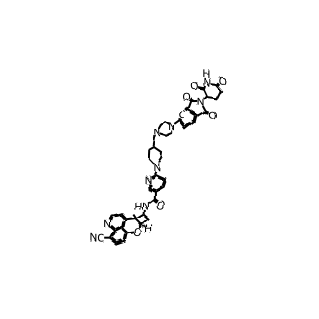 CC12c3ccnc4c(C#N)ccc(c34)O[C@H]1CC2NC(=O)c1ccc(N2CCC(CN3CCN(c4ccc5c(c4)C(=O)N(C4CCC(=O)NC4=O)C5=O)CC3)CC2)nc1